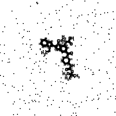 CCn1c(-c2nc3cc(C(=O)N4CCCC(NC(=O)OC(C)(C)C)C4)cc(N(C)C(=O)O)c3n2C)cc2ccccc21